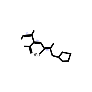 C=C(C)C(=C\C(=C(/C)CC1CCCC1)C(C)(C)C)/C(C)=C\C